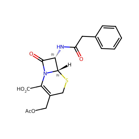 CC(=O)OCC1=C(C(=O)O)N2C(=O)[C@H](NC(=O)Cc3ccccc3)[C@@H]2SC1